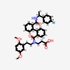 COc1ccc(OC)c(CCN(CCC(=O)O)C(=O)c2ccccc2-c2ccccc2C(=O)NC(C)c2ccc(F)cc2)c1